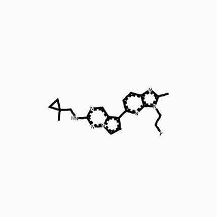 Cc1nc2ccc(-c3ccn4nc(NCC5(C)CC5)ncc34)nc2n1CCF